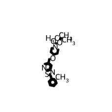 Cc1ccccc1-c1nc2cc(COC3CCN(C(=O)OC(C)(C)C)CC3)cnc2s1